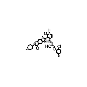 CN1CCC(N2Cc3cc4nc(-c5c(NC[C@@H](O)COc6cc(F)ccc6Cl)cc[nH]c5=O)[nH]c4cc3C2=O)CC1